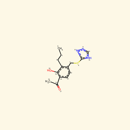 CCCc1c(CSc2nnc[nH]2)ccc(C(C)=O)c1O